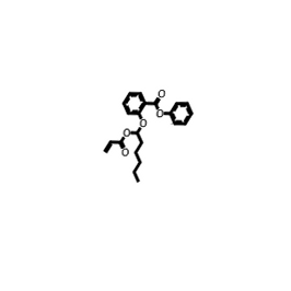 C=CC(=O)OC(CCCCC)Oc1ccccc1C(=O)Oc1[c]cccc1